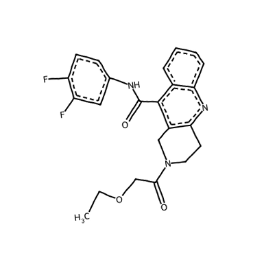 CCOCC(=O)N1CCc2nc3ccccc3c(C(=O)Nc3ccc(F)c(F)c3)c2C1